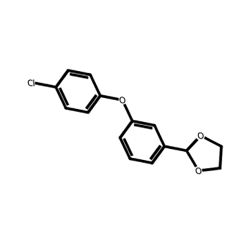 Clc1ccc(Oc2cccc(C3OCCO3)c2)cc1